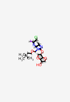 C[Si](C)(C)CCOCn1c(O[C@@H]2COC3C2OC[C@H]3O)nc2cc(Cl)c(I)nc21